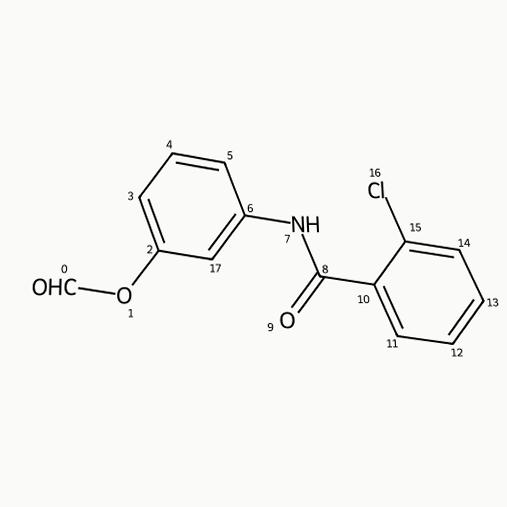 O=COc1cccc(NC(=O)c2ccccc2Cl)c1